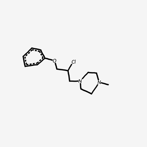 CN1CCN(CC(Cl)COc2ccccc2)CC1